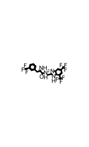 N[C@H](Cc1cccc(C(F)(F)F)c1)C(=O)NCC1=NC2C=C(C(F)(F)F)C=C(C(F)(F)F)C2N1